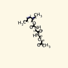 C=C/C=C\C(=C/C)COC(=O)NCC(=O)NCOCC(C)=O